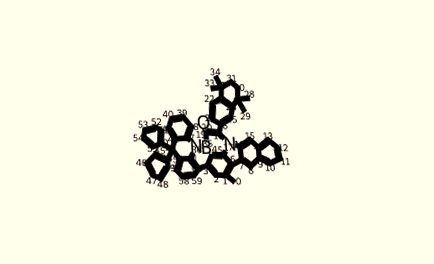 Cc1cc2c3c4c1c1cc5ccccc5cc1n4-c1c(oc4cc5c(cc14)C(C)(C)CCC5(C)C)B3N1c3ccccc3C(c3ccccc3)(c3ccccc3)c3cccc-2c31